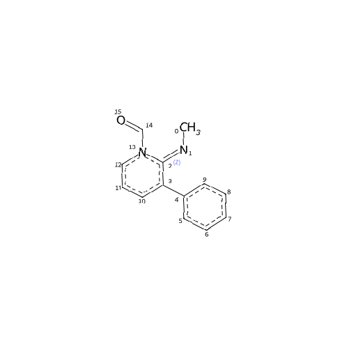 C/N=c1/c(-c2ccccc2)cccn1C=O